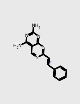 Nc1nc(N)c2cnc(/C=C/c3ccccc3)nc2n1